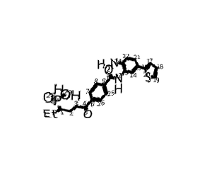 CCC(CCC(=O)c1ccc(C(=O)Nc2cc(-c3cccs3)ccc2N)cc1)[PH](=O)O